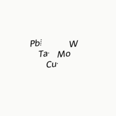 [Cu].[Mo].[Pb].[Ta].[W]